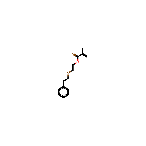 C=C(C)C(=S)OCCSCCc1ccccc1